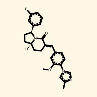 COc1cc(C=C2CC[C@H]3CC[C@@H](c4cccc(F)c4)N3C2=O)ccc1-n1cnc(C)c1